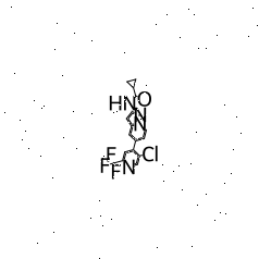 O=C(Nc1cc2cc(-c3cc(C(F)(F)F)ncc3Cl)ccn2n1)C1CC1